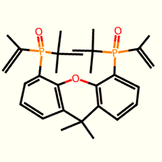 C=C(C)P(=O)(c1cccc2c1Oc1c(cccc1P(=O)(C(=C)C)C(C)(C)C)C2(C)C)C(C)(C)C